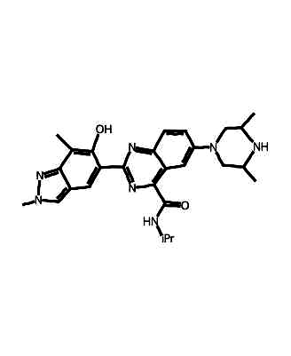 Cc1c(O)c(-c2nc(C(=O)NC(C)C)c3cc(N4CC(C)NC(C)C4)ccc3n2)cc2cn(C)nc12